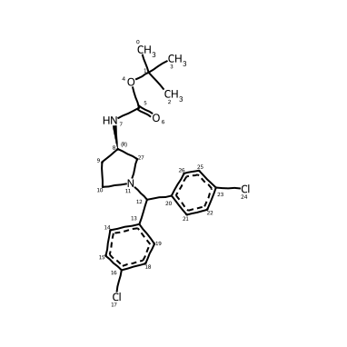 CC(C)(C)OC(=O)N[C@@H]1CCN(C(c2ccc(Cl)cc2)c2ccc(Cl)cc2)C1